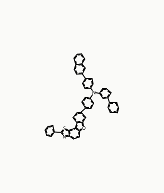 c1ccc(-c2cccc(N(c3ccc(-c4ccc5ccccc5c4)cc3)c3ccc(-c4ccc5c(c4)oc4ccc6nc(-c7ccccc7)sc6c45)cc3)c2)cc1